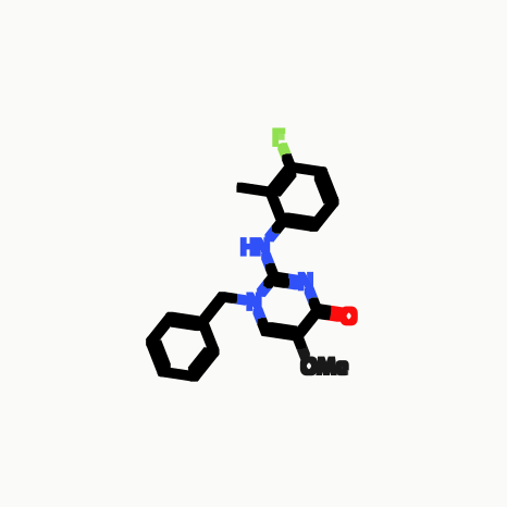 COc1cn(Cc2ccccc2)c(Nc2cccc(F)c2C)nc1=O